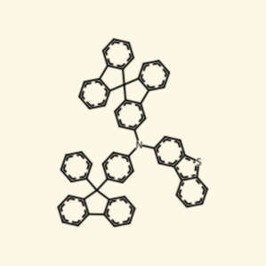 c1ccc(C2(c3ccc(N(c4ccc5c(c4)-c4ccccc4C54c5ccccc5-c5ccccc54)c4ccc5sc6ccccc6c5c4)cc3)c3ccccc3-c3ccccc32)cc1